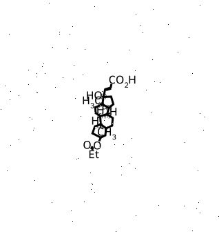 CCC(=O)OC1CC[C@@]2(C)C(CC[C@@H]3[C@@H]2CC[C@@]2(C)[C@H]3CC[C@]2(O)C=CC(=O)O)C1